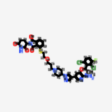 C[C@@H](Oc1cc(-c2cnn(C3CCN(CCCOCCSc4cccc5c4C(=O)N(C4CCC(=O)NC4=O)C5=O)CC3)c2)cnc1N)c1c(Cl)ccc(F)c1Cl